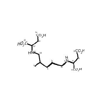 CC(CCCNC(CC(=O)O)C(=O)O)CNC(CC(=O)O)C(=O)O